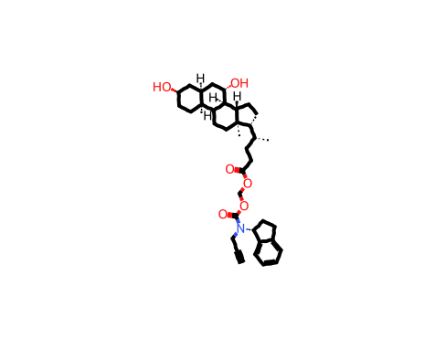 C#CCN(C(=O)OCOC(=O)CC[C@@H](C)[C@H]1CC[C@H]2[C@@H]3[C@@H](O)C[C@@H]4C[C@H](O)CC[C@]4(C)[C@H]3CC[C@]12C)[C@@H]1CCc2ccccc21